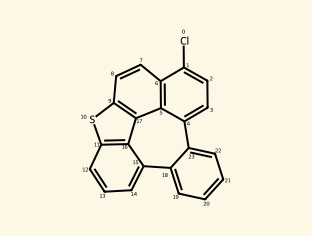 Clc1ccc2c3c1ccc1sc4cccc(c4c13)-c1ccccc1-2